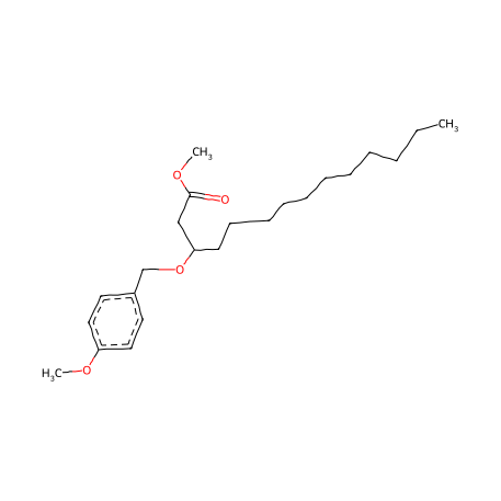 CCCCCCCCCCCC(CC(=O)OC)OCc1ccc(OC)cc1